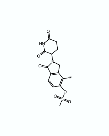 CS(=O)(=O)Oc1ccc2c(c1F)CN(C1CCC(=O)NC1=O)C2=O